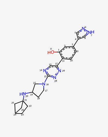 Oc1cc(-c2cn[nH]c2)ccc1-c1cnc(N2CCC(NC34CCC(C3)C4)C2)nn1